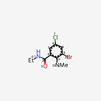 CCNC(=O)c1cc(Cl)cc(Br)c1NC